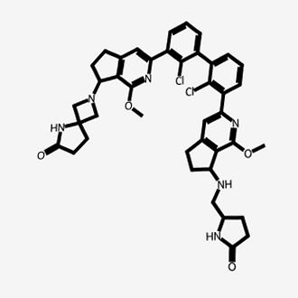 COc1nc(-c2cccc(-c3cccc(-c4cc5c(c(OC)n4)C(N4CC6(CCC(=O)N6)C4)CC5)c3Cl)c2Cl)cc2c1C(NCC1CCC(=O)N1)CC2